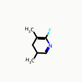 CC1=C(F)N=CC(C)C1